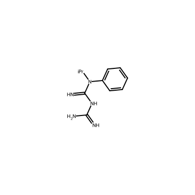 CC(C)N(C(=N)NC(=N)N)c1ccccc1